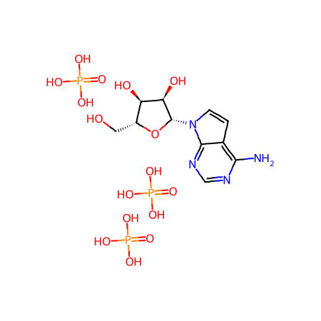 Nc1ncnc2c1ccn2[C@@H]1O[C@H](CO)[C@@H](O)[C@H]1O.O=P(O)(O)O.O=P(O)(O)O.O=P(O)(O)O